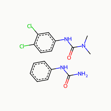 CN(C)C(=O)Nc1ccc(Cl)c(Cl)c1.NC(=O)Nc1ccccc1